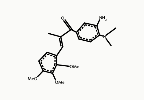 COc1ccc(/C=C(\C)C(=O)c2ccc(N(C)C)c(N)c2)c(OC)c1OC